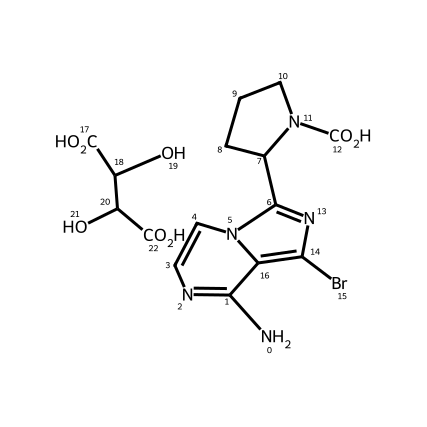 Nc1nccn2c(C3CCCN3C(=O)O)nc(Br)c12.O=C(O)C(O)C(O)C(=O)O